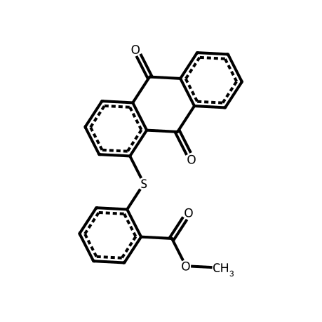 COC(=O)c1ccccc1Sc1cccc2c1C(=O)c1ccccc1C2=O